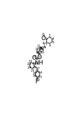 COc1ccccc1CC[N+]12CCC(CC1)C(OC(=O)Nc1ccccc1Cc1ccc(F)cc1)C2